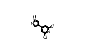 Clc1cc(-c2cn[nH]c2)cc(Cl)n1